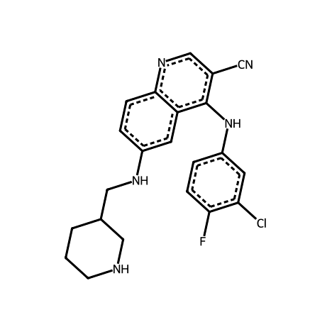 N#Cc1cnc2ccc(NCC3CCCNC3)cc2c1Nc1ccc(F)c(Cl)c1